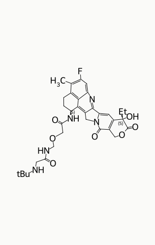 CC[C@@]1(O)C(=O)OCc2c1cc1n(c2=O)Cc2c-1nc1cc(F)c(C)c3c1c2[C@@H](NC(=O)COCNC(=O)CNC(C)(C)C)CC3